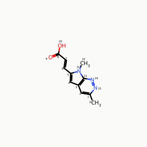 Cc1cc2cc(/C=C/C(=O)O)n(C)c2nn1